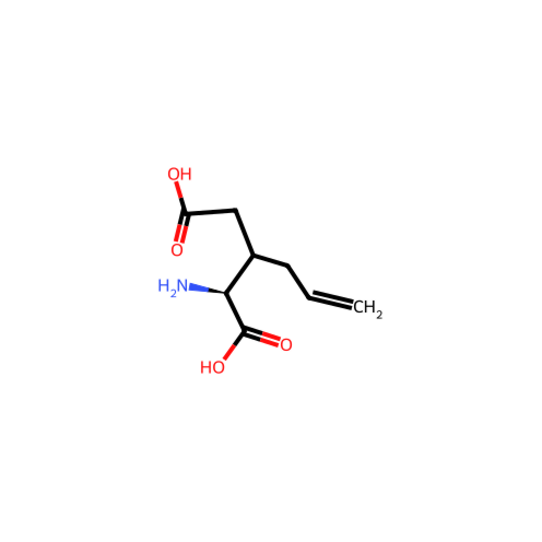 C=CCC(CC(=O)O)[C@H](N)C(=O)O